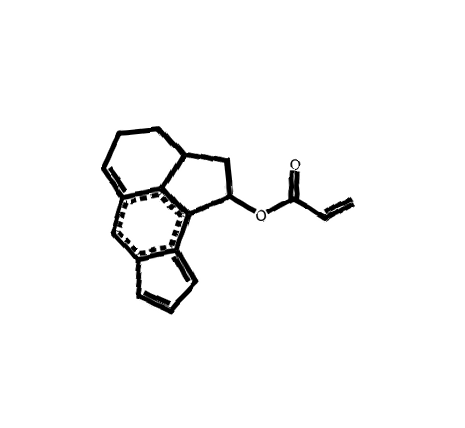 C=CC(=O)OC1CC2CCC=c3cc4c(c1c32)=CC=C4